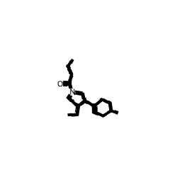 CCCC(=O)N1CC(CC)C(C2=CCC(C)CC2)C1